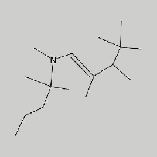 CCCC(C)(C)N(C)/C=C(\C)C(C)C(C)(C)C